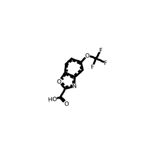 O=C(O)c1nc2cc(OC(F)(F)F)ccc2o1